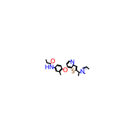 C/C=C\N(C)C(C)c1cc2nccc(Oc3ccc(NC(=O)CC)cc3C)c2s1